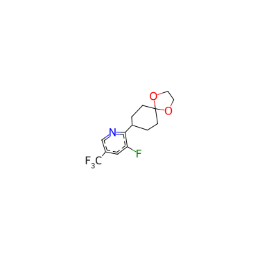 Fc1cc(C(F)(F)F)cnc1C1CCC2(CC1)OCCO2